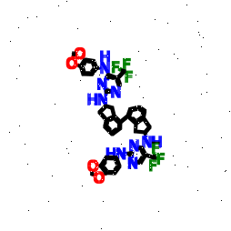 FC(F)(F)c1cnc(NC2Cc3cccc(-c4cccc5c4CC(Nc4nc(Nc6ccc7c(c6)OCO7)ncc4C(F)(F)F)C5)c3C2)nc1Nc1ccc2c(c1)OCO2